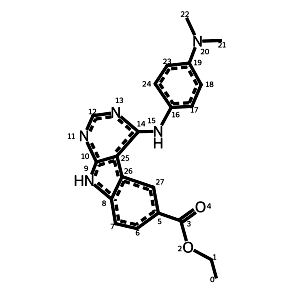 CCOC(=O)c1ccc2[nH]c3ncnc(Nc4ccc(N(C)C)cc4)c3c2c1